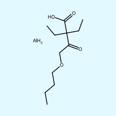 CCCCOCC(=O)C(CC)(CC)C(=O)O.[AlH3]